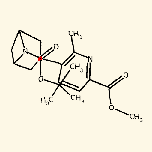 COC(=O)c1ccc(N2CC3CC(C2)N3C(=O)OC(C)(C)C)c(C)n1